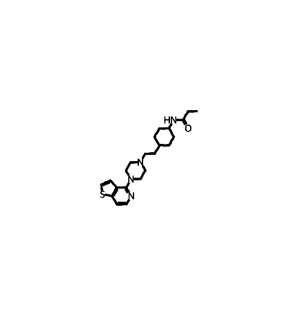 CCC(=O)NC1CCC(CCN2CCN(c3nccc4sccc34)CC2)CC1